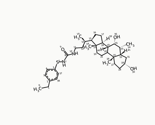 CCc1ccc(SNC(=O)NCC[C@@H](C)[C@H]2CC[C@H]3[C@H]4C(CC[C@]23C)[C@@]2(C)CC[C@@H](O)C[C@H]2[C@@H](C)[C@H]4O)cc1